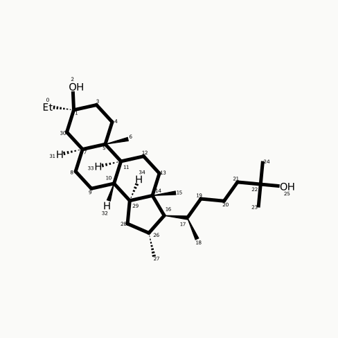 CC[C@]1(O)CC[C@@]2(C)[C@@H](CC[C@@H]3[C@@H]2CC[C@]2(C)[C@@H]([C@H](C)CCCC(C)(C)O)[C@H](C)C[C@@H]32)C1